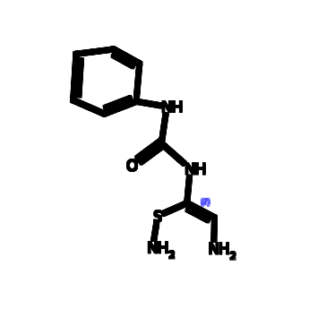 N/C=C(/NC(=O)Nc1ccccc1)SN